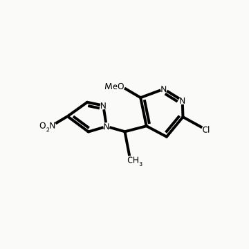 COc1nnc(Cl)cc1C(C)n1cc([N+](=O)[O-])cn1